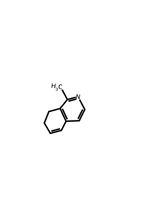 Cc1nccc2c1CCC=C2